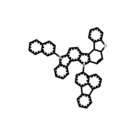 C1=CC2Oc3ccccc3C2c2c1n(-c1ccc3c4c(cccc14)-c1ccccc1-3)c1c2ccc2c1c1ccccc1n2-c1ccc2ccccc2c1